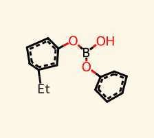 CCc1cccc(OB(O)Oc2ccccc2)c1